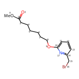 COC(=O)CCCCCCOc1cccc(CBr)n1